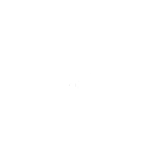 C.C1=CC2C3C=CC(C3)C2C1